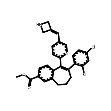 COC(=O)c1ccc2c(c1)CCCC(c1ccc(Cl)cc1Cl)=C2c1ccc(C=C2CNC2)cn1